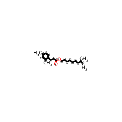 Cc1ccc(CCC(=O)OCCCCCCCC(C)C)c(C)c1